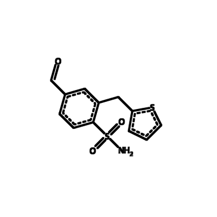 NS(=O)(=O)c1ccc(C=O)cc1Cc1cccs1